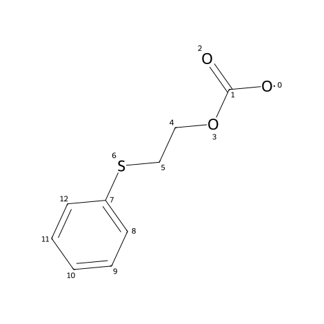 [O]C(=O)OCCSc1ccccc1